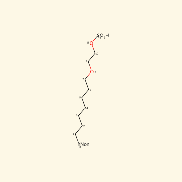 CCCCCCCCCCCCCCCCOCCOS(=O)(=O)O